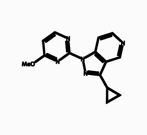 COc1ccnc(-n2nc(C3CC3)c3cnccc32)n1